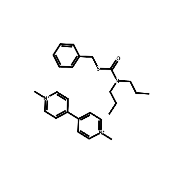 CCCN(CCC)C(=O)SCc1ccccc1.C[n+]1ccc(-c2cc[n+](C)cc2)cc1